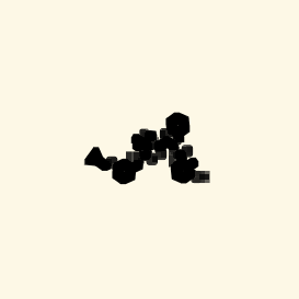 Cc1c(O)cccc1C(=O)N[C@@H](Cc1ccccc1)[C@H](O)C(=O)N1CSC(C)(C)[C@H]1C(=O)NCc1cccc(OCC2CC2)c1